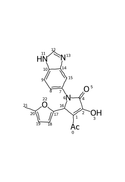 CC(=O)C1=C(O)C(=O)N(c2ccc3[nH]cnc3c2)C1c1ccc(C)o1